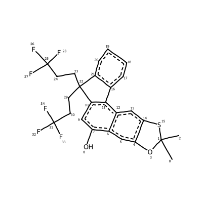 CC1(C)Oc2cc3c(O)cc4c(c3cc2S1)-c1ccccc1C4(CCC(F)(F)F)CCC(F)(F)F